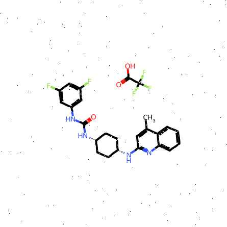 Cc1cc(N[C@H]2CC[C@@H](NC(=O)Nc3cc(F)cc(F)c3)CC2)nc2ccccc12.O=C(O)C(F)(F)F